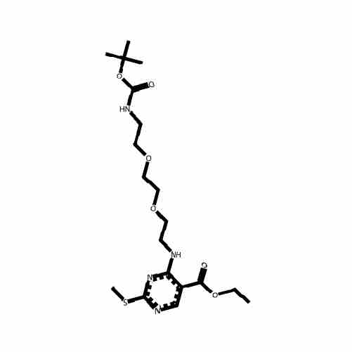 CCOC(=O)c1cnc(SC)nc1NCCOCCOCCNC(=O)OC(C)(C)C